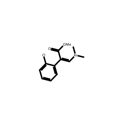 COC(=O)C(=C[As](C)C)c1ccccc1Cl